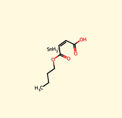 CCCCOC(=O)/C=C\C(=O)O.[SnH2]